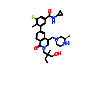 CCC(C)(CO)Cn1cc(CN2CCN[C@@H](C)C2)c2cc(-c3cc(C(=O)NC4CC4)cc(F)c3C)ccc2c1=O